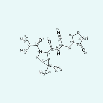 CC(C)C(=O)N1CC2C(C1C(=O)NC(C#N)CC1CCNC1=O)C2(C)C